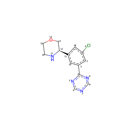 Clc1cc(-c2ncncn2)cc([C@@H]2COCCN2)c1